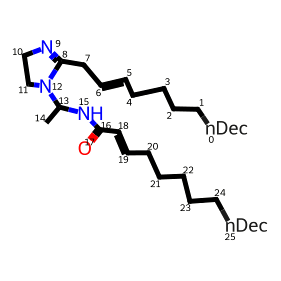 CCCCCCCCCCCCCCC=CCC1=NCCN1C(C)NC(=O)C=CCCCCCCCCCCCCCCC